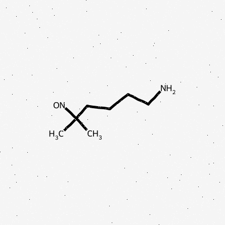 CC(C)(CCCCN)N=O